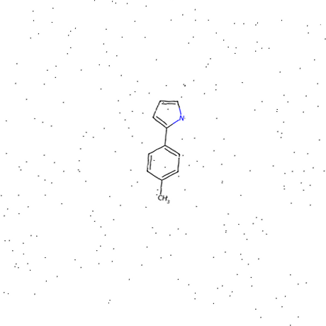 Cc1ccc(C2=CC=C[N]2)cc1